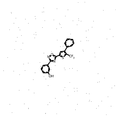 Oc1cccc(-c2noc(-c3cc(-c4ccccc4)c(C(F)(F)F)s3)n2)c1